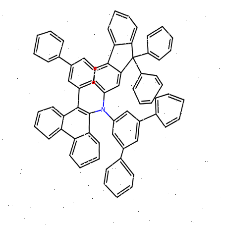 c1ccc(-c2cccc(-c3c(N(c4cc(-c5ccccc5)cc(-c5ccccc5)c4)c4ccc5c(c4)C(c4ccccc4)(c4ccccc4)c4ccccc4-5)c4ccccc4c4ccccc34)c2)cc1